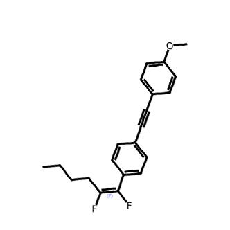 CCCC/C(F)=C(/F)c1ccc(C#Cc2ccc(OC)cc2)cc1